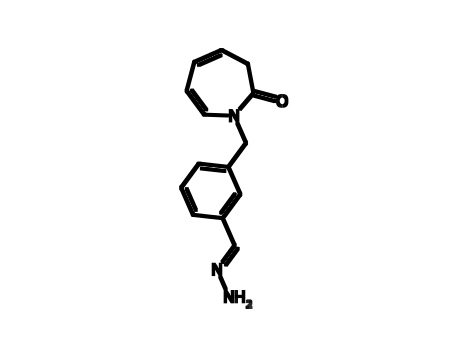 NN=Cc1cccc(CN2C=CC=CCC2=O)c1